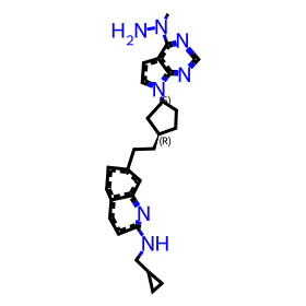 CN(N)c1ncnc2c1ccn2[C@H]1CC[C@@H](CCc2ccc3ccc(NCC4CC4)nc3c2)C1